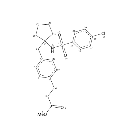 COC(=O)CCc1ccc(CC2(NS(=O)(=O)c3ccc(Cl)cc3)CCCC2)cc1